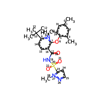 Cc1cc(C)c(Oc2nc(C(C)(C)C)ccc2C(=O)NS(=O)(=O)c2ccnn2C)c(C)c1